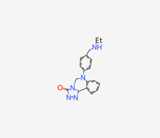 CCNCc1ccc(N2CN3C(=O)N=NC3c3ccccc32)cc1